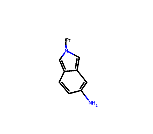 CC(C)n1cc2ccc(N)cc2c1